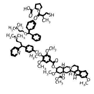 CN(C)CCC(c1ccc(Cl)cc1)c1ccccn1.CN(C)CCOC(c1ccccc1)c1ccccc1.COC(=O)[C@H]1[C@H]2C[C@@H]3c4[nH]c5cc(OC)ccc5c4CCN3C[C@H]2C[C@@H](OC(=O)c2cc(OC)c(OC)c(OC)c2)[C@@H]1OC.C[C@H](CS)C(=O)N1CCC[C@H]1C(=O)O